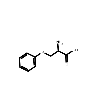 NC(C[Se]c1ccccc1)C(=O)O